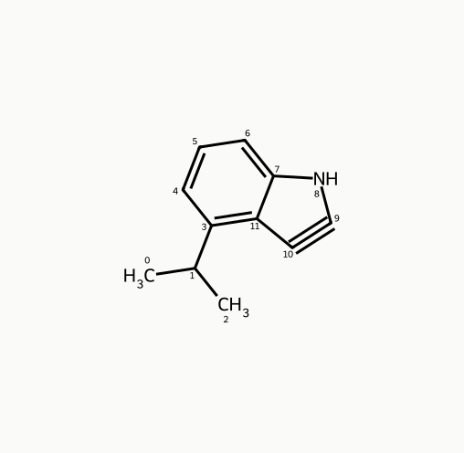 CC(C)c1cccc2[nH]c#cc12